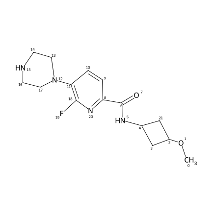 COC1CC(NC(=O)c2ccc(N3CCNCC3)c(F)n2)C1